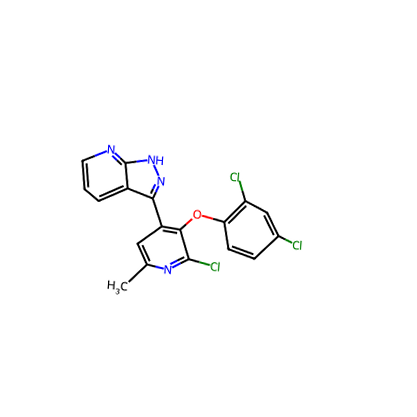 Cc1cc(-c2n[nH]c3ncccc23)c(Oc2ccc(Cl)cc2Cl)c(Cl)n1